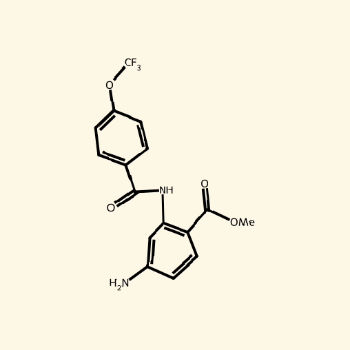 COC(=O)c1ccc(N)cc1NC(=O)c1ccc(OC(F)(F)F)cc1